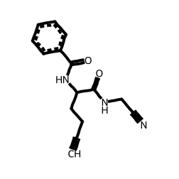 C#CCCC(NC(=O)c1ccccc1)C(=O)NCC#N